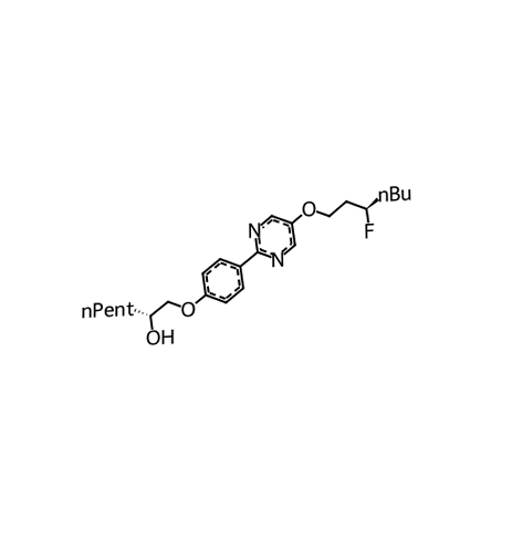 CCCCC[C@@H](O)COc1ccc(-c2ncc(OCC[C@H](F)CCCC)cn2)cc1